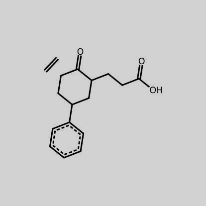 C=C.O=C(O)CCC1CC(c2ccccc2)CCC1=O